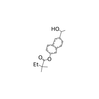 CCC(C)(C)C(=O)Oc1ccc2cc(C(C)O)ccc2c1